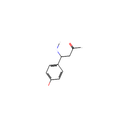 CC(C)NC(CC(=O)C(C)C)c1ccc(O)cc1